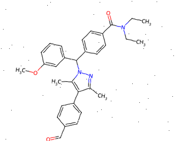 CCN(CC)C(=O)c1ccc(C(c2cccc(OC)c2)n2nc(C)c(-c3ccc(C=O)cc3)c2C)cc1